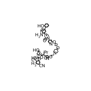 CC(C)[C@@H](C(=O)N1C[C@H](O)C[C@H]1C(=O)N[C@@H](C)c1ccc(C#N)cc1)c1cc(OCCN2CCC(O[C@H]3C[C@@H](Oc4cc(N5CCN(c6cc(-c7ccccc7O)nnc6N)CC56COC6)ccn4)C3)CC2)no1